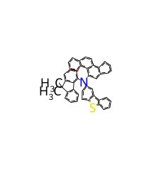 CC1(C)c2ccccc2-c2c(N(c3ccc4sc5ccccc5c4c3)c3cc4ccccc4c4ccc5ccccc5c34)cccc21